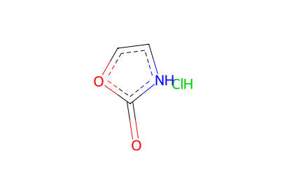 Cl.O=c1[nH]cco1